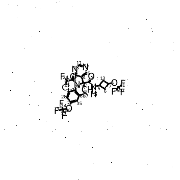 C[C@@](C(=O)NC1CC(OC(F)(F)F)C1)(c1cncnc1)N(C(=O)[C@H](F)Cl)c1ccc(OC(F)(F)F)cc1F